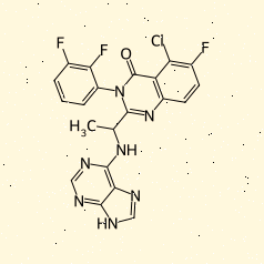 CC(Nc1ncnc2[nH]cnc12)c1nc2ccc(F)c(Cl)c2c(=O)n1-c1cccc(F)c1F